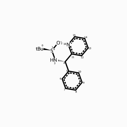 CC(C)(C)[S@@+]([O-])N[C@@H](c1ccccc1)c1ccccn1